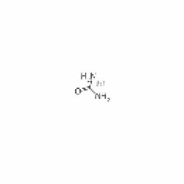 I.NC(N)=O